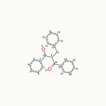 O=C(c1ccccc1)C(Cc1ccccc1)C(=O)c1ccccc1